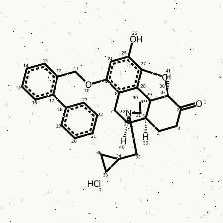 Cl.O=C1CC[C@H]2[C@H]3Cc4c(OCc5ccccc5-c5ccccc5)cc(O)c5c4[C@@]2(CCN3CC2CC2)[C@H]1O5